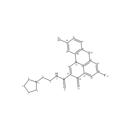 O=C(NCCN1CCCC1)c1cn2c3c(cc(F)cc3c1=O)Oc1ccc(Cl)cc1-2